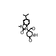 CC(C)c1ccc2c(c1)n(C)c(=O)n2C1(C=O)CCC(=O)NC1